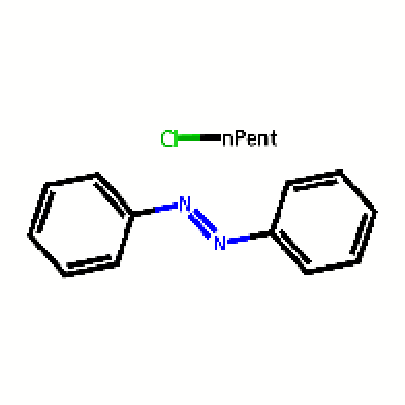 CCCCCCl.c1ccc(/N=N/c2ccccc2)cc1